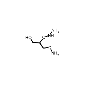 NNOC(CO)CON